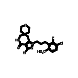 CCc1nn(CCCc2c(C(=O)O)ccc(Cl)c2F)c2c1C(=O)NCC1(CCOCC1)C2